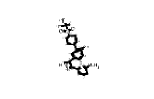 Cc1cccc(-c2n[nH]cc2-c2ccc(F)c(-c3ccc(S(=O)(=O)C(F)(F)F)cc3)c2)n1